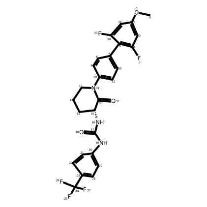 COc1cc(F)c(-c2ccc(N3CCC[C@@H](NC(=O)Nc4ccc(C(F)(F)F)cc4)C3=O)cc2)c(F)c1